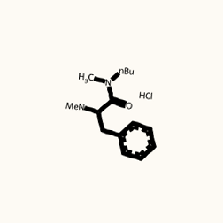 CCCCN(C)C(=O)C(Cc1ccccc1)NC.Cl